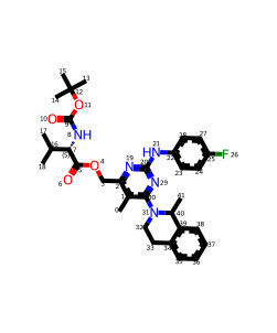 Cc1c(COC(=O)[C@@H](NC(=O)OC(C)(C)C)C(C)C)nc(Nc2ccc(F)cc2)nc1N1CCc2ccccc2C1C